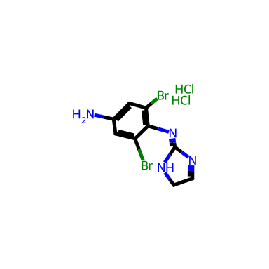 Cl.Cl.Nc1cc(Br)c(N=C2N=CCN2)c(Br)c1